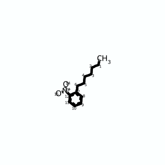 CCCCCCCc1ccccc1[N+](=O)[O-]